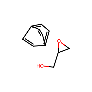 OCC1CO1.c1cc2ccc1cc2